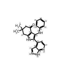 CC1(C)CC(=O)c2c([nH]c(-c3ccnc4[nH]ncc34)c2Nc2ccccc2)C1